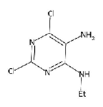 CCNc1nc(Cl)nc(Cl)c1N